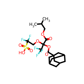 CC(C)COC(=O)C(OCC(F)(F)S(=O)(=O)O)(OC(=O)C12CC3CC(CC(C3)C1)C2)C(F)(F)F